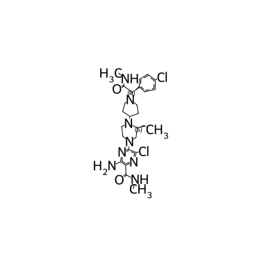 CC[C@H]1CN(c2nc(N)c(C(=O)NC)nc2Cl)CCN1C1CCN([C@@H](C(=O)NC)c2ccc(Cl)cc2)CC1